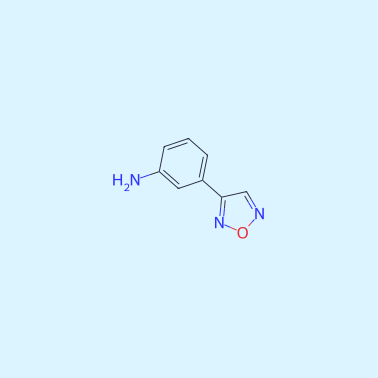 Nc1cccc(-c2cnon2)c1